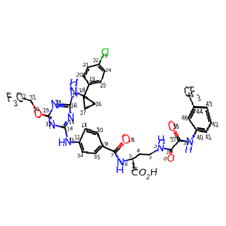 O=C(NCC[C@H](NC(=O)c1ccc(Nc2nc(NC3(c4ccc(Cl)cc4)CC3)nc(OCC(F)(F)F)n2)cc1)C(=O)O)C(=O)Nc1cccc(C(F)(F)F)c1